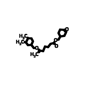 C=C(CCCCC(=O)OCC1CCC2OC2C1)OCC1CCC(C)C(C)C1